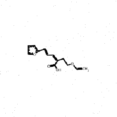 C=COCCC(=CC=Cc1ccco1)C(=O)O